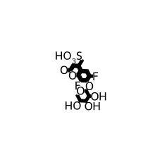 O=c1cc(CS(=O)(=O)O)c2cc(F)c(O[C@@H]3OC[C@@H](O)[C@@H](O)C3O)c(F)c2o1